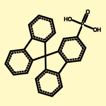 O=P(O)(O)c1ccc2c(c1)C1(c3ccccc3-c3ccccc31)c1ccccc1-2